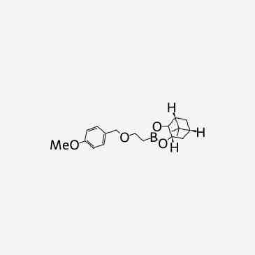 COc1ccc(COCCB2OC3[C@H](C[C@H]4C[C@@H]3C4(C)C)O2)cc1